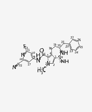 Cn1cc2c(c1C(=O)Nc1cc(F)nc(C#N)c1)CCC(Cc1ccccc1)NS2=N